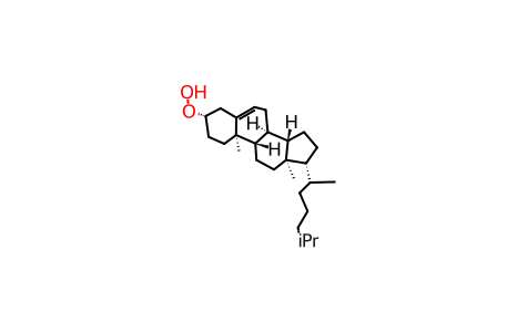 CC(C)CCCC(C)[C@H]1CC[C@H]2[C@@H]3CC=C4C[C@@H](OO)CC[C@]4(C)[C@H]3CC[C@]12C